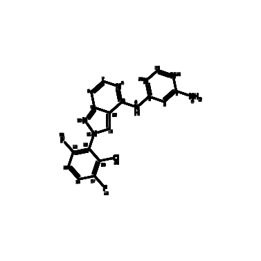 Nc1cc(Nc2nccc3nn(-c4c(F)ccc(F)c4Cl)cc23)ncn1